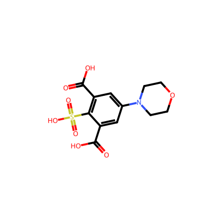 O=C(O)c1cc(N2CCOCC2)cc(C(=O)O)c1S(=O)(=O)O